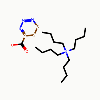 CCCC[N+](CCCC)(CCCC)CCCC.O=C([O-])S1=NN=NSS1